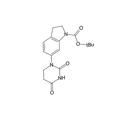 CC(C)(C)OC(=O)N1CCc2ccc(N3CCC(=O)NC3=O)cc21